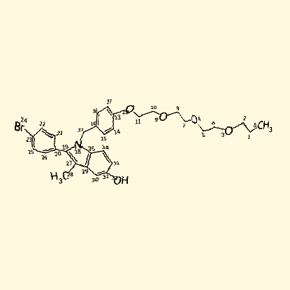 CCCOCCOCCOCCOc1ccc(Cn2c(-c3ccc(Br)cc3)c(C)c3cc(O)ccc32)cc1